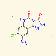 Nc1cc2c(cc1Cl)[nH]c(=O)n1c(=O)[nH]nc21